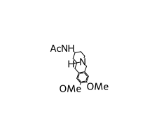 COc1cc2c(cc1OC)CN1CC[C@@H](NC(C)=O)C[C@H]1C2